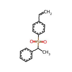 C=Cc1ccc(S(=O)(=O)C(C)c2ccccc2)cc1